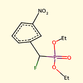 CCOP(=O)(OCC)C(F)c1cccc([N+](=O)[O-])c1